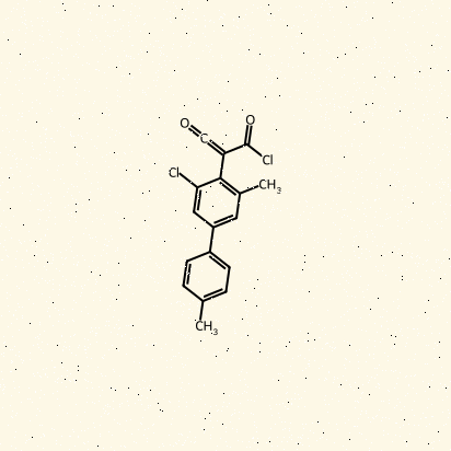 Cc1ccc(-c2cc(C)c(C(=C=O)C(=O)Cl)c(Cl)c2)cc1